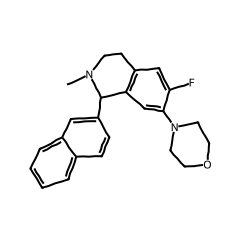 CN1CCc2cc(F)c(N3CCOCC3)cc2C1c1ccc2ccccc2c1